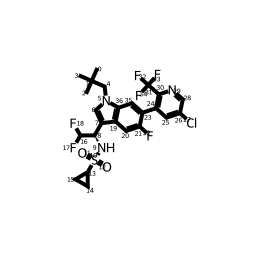 CC(C)(C)Cn1cc([C@H](NS(=O)(=O)C2CC2)C(F)F)c2cc(F)c(-c3cc(Cl)cnc3C(F)(F)F)cc21